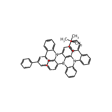 CC(C)(C)c1cc2c3c(c1)N(c1ccccc1-c1cc(-c4ccccc4)ccn1)c1ccccc1B3c1ccccc1N2c1ccccc1-c1ccccn1